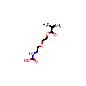 C=C(C)C(=O)OCCOCCNC(=O)O